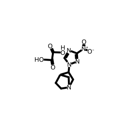 O=C(O)C(=O)O.O=[N+]([O-])c1ncn(C2CN3CCC2C3)n1